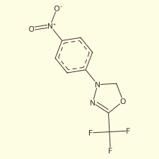 O=[N+]([O-])c1ccc(N2COC(C(F)(F)F)=N2)cc1